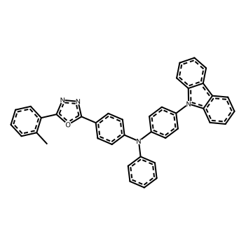 Cc1ccccc1-c1nnc(-c2ccc(N(c3ccccc3)c3ccc(-n4c5ccccc5c5ccccc54)cc3)cc2)o1